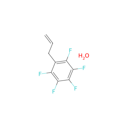 C=CCc1c(F)c(F)c(F)c(F)c1F.O